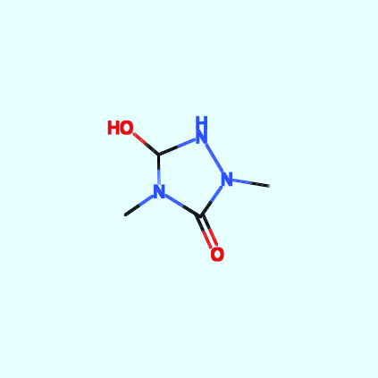 CN1NC(O)N(C)C1=O